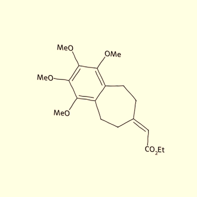 CCOC(=O)C=C1CCc2c(c(OC)c(OC)c(OC)c2OC)CC1